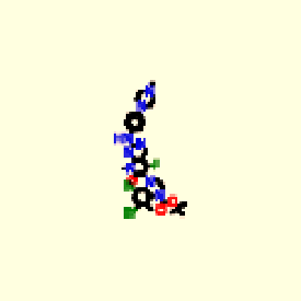 Cc1c(Br)cc(Br)c2c1N(C(=O)OC(C)(C)C)CCN2c1c(F)c2cnc(Nc3ccc(N4CCN(C)CC4)cc3)nc2n(C)c1=O